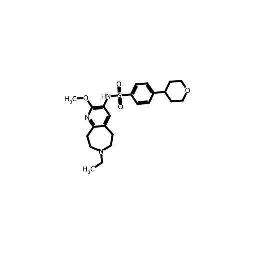 CCN1CCc2cc(NS(=O)(=O)c3ccc(C4CCOCC4)cc3)c(OC)nc2CC1